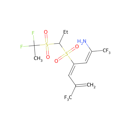 C=C(/C=C(\C=C(/N)C(F)(F)F)S(=O)(=O)C(CC)S(=O)(=O)C(C)(F)F)C(F)(F)F